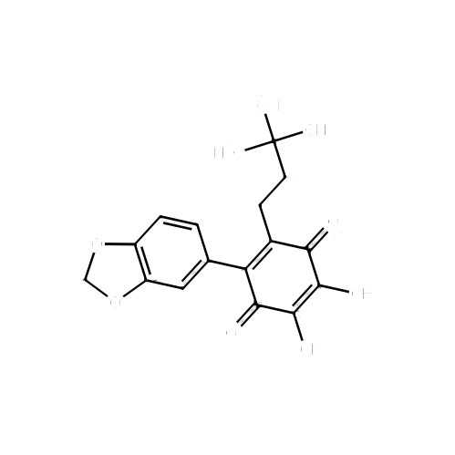 CC1=C(C)C(=O)C(c2ccc3c(c2)OCO3)=C(CCC(C)(C)O)C1=O